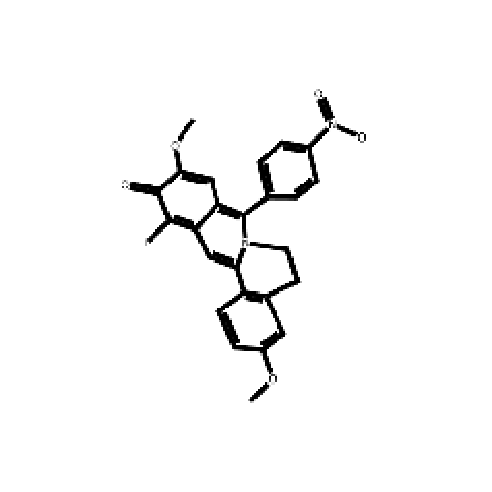 COc1ccc2c(c1)CCn1c-2cc2c(I)c(=O)c(OC)cc-2c1-c1ccc([N+](=O)[O-])cc1